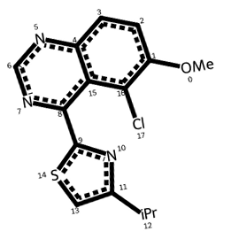 COc1ccc2n[c]nc(-c3nc(C(C)C)cs3)c2c1Cl